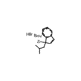 Br.Br.CC(C)C[C]1([Zr])C=Cc2ccccc21